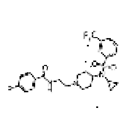 O=C(NCCN1CCC(N(C2CC2)S(=O)(=O)c2cccc(C(F)(F)F)c2)CC1)c1ccc(F)cc1